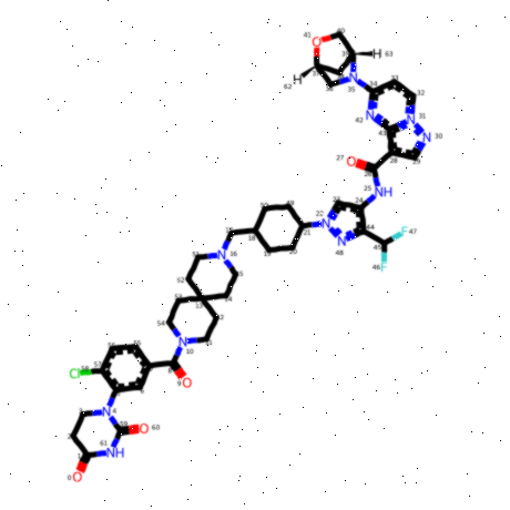 O=C1CCN(c2cc(C(=O)N3CCC4(CCN(CC5CCC(n6cc(NC(=O)c7cnn8ccc(N9C[C@H]%10C[C@@H]9CO%10)nc78)c(C(F)F)n6)CC5)CC4)CC3)ccc2Cl)C(=O)N1